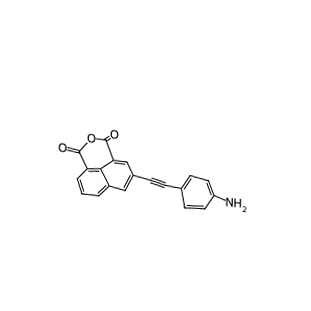 Nc1ccc(C#Cc2cc3c4c(cccc4c2)C(=O)OC3=O)cc1